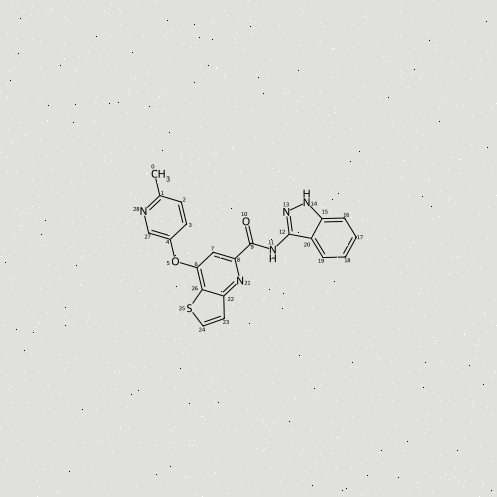 Cc1ccc(Oc2cc(C(=O)Nc3n[nH]c4ccccc34)nc3ccsc23)cn1